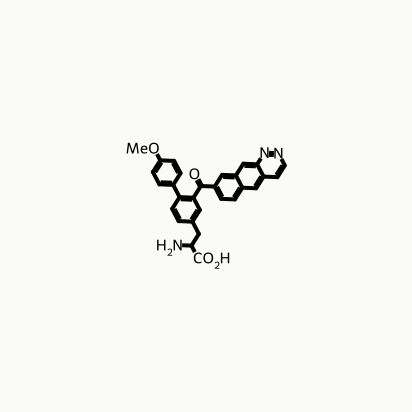 COc1ccc(-c2ccc(CC(N)C(=O)O)cc2C(=O)c2ccc3cc4ccnnc4cc3c2)cc1